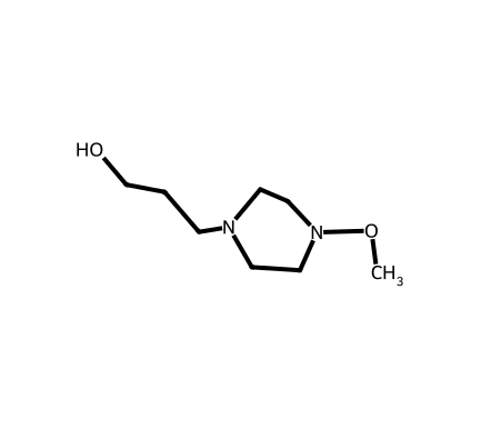 CON1CCN(CCCO)CC1